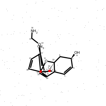 CN1CC[C@@]23C=C[C@H](O)C[C@@H]2Oc2c(OCN)ccc(c23)C1